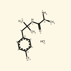 C[C@H](N)C(=O)NC(C)(C)Cc1ccc(C(F)(F)F)cc1.Cl